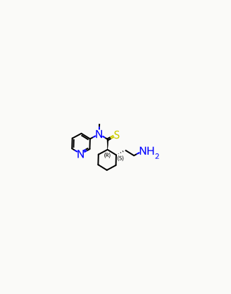 CN(C(=S)[C@@H]1CCCC[C@H]1CCN)c1cccnc1